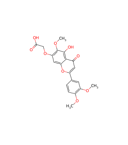 COc1ccc(-c2cc(=O)c3c(O)c(OC)c(OCC(=O)O)cc3o2)cc1OC